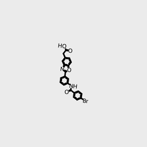 O=C(O)Cc1ccc2oc(-c3cccc(NC(=O)c4ccc(Br)cc4)c3)nc2c1